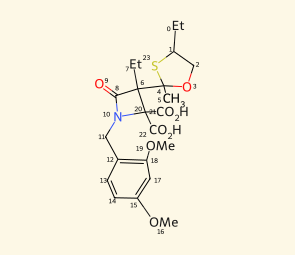 CCC1COC(C)(C2(CC)C(=O)N(Cc3ccc(OC)cc3OC)C2(C(=O)O)C(=O)O)S1